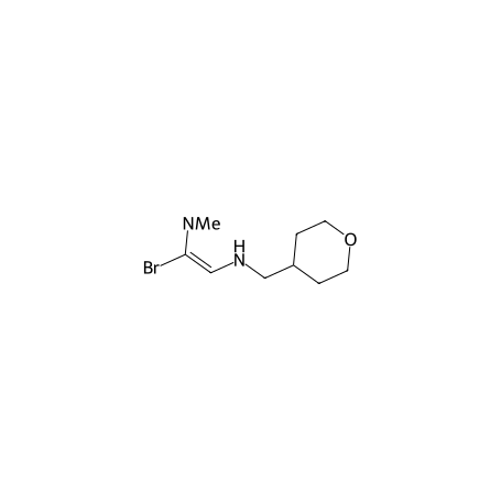 CN/C(Br)=C\NCC1CCOCC1